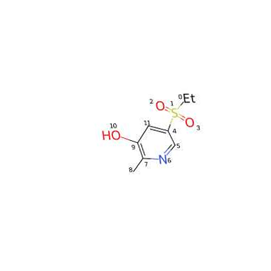 CCS(=O)(=O)c1cnc(C)c(O)c1